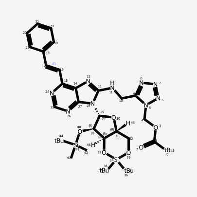 CC(C)(C)C(=O)OCn1nnnc1CNc1nc2c(/C=C/c3ccccc3)ncnc2n1[C@@H]1O[C@@H]2CO[Si](C(C)(C)C)(C(C)(C)C)O[C@H]2[C@H]1O[Si](C)(C)C(C)(C)C